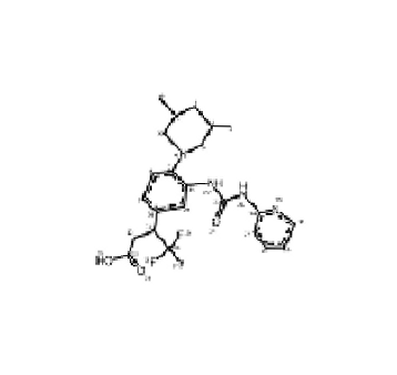 CC1CC(C)CN(c2ccc(C(CC(=O)O)C(F)(F)F)cc2NC(=O)Nc2ccccn2)C1